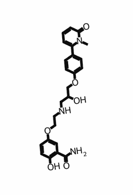 Cn1c(-c2ccc(OCC(O)CNCCOc3ccc(O)c(C(N)=O)c3)cc2)cccc1=O